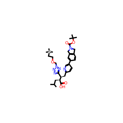 CC(C)C[C@H](C(=O)O)[C@H](Cc1ccc(-c2ccc3c(c2)CN(C(=O)OC(C)(C)C)C3)cn1)c1nnn(COCC[Si](C)(C)C)n1